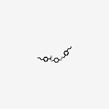 CCCc1ccc(COOC2CCC(OC(=O)c3ccc(CCC)cc3)CC2)cc1